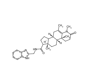 CC1=C2N(C)C(=O)CC[C@]2(C)[C@@H]2CC[C@]3(C)C(C(=O)NCc4nc5ccccc5[nH]4)CC[C@H]3[C@@H]2C1